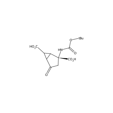 CC(C)(C)OC(=O)N[C@]1(C(=O)O)CC(=O)C2C(C(=O)O)C21